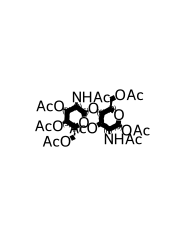 CC(=O)N[C@H]1[C@H](O[C@H]2C(OC(C)=O)[C@@H](NC(C)=O)[C@H](OC(C)=O)O[C@@H]2COC(C)=O)O[C@H](COC(C)=O)[C@@H](OC(C)=O)[C@@H]1OC(C)=O